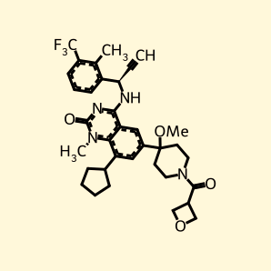 C#C[C@@H](Nc1nc(=O)n(C)c2c(C3CCCC3)cc(C3(OC)CCN(C(=O)C4COC4)CC3)cc12)c1cccc(C(F)(F)F)c1C